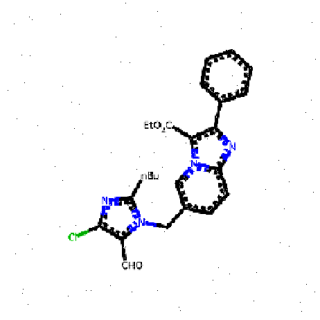 CCCCc1nc(Cl)c(C=O)n1Cc1ccc2nc(-c3ccccc3)c(C(=O)OCC)n2c1